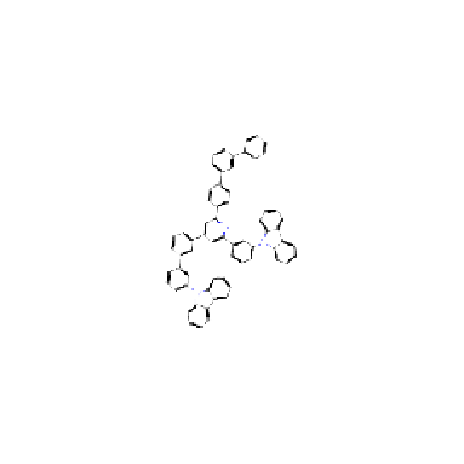 c1ccc(-c2cccc(-c3ccc(-c4cc(-c5cccc(-c6cccc(-n7c8ccccc8c8ccccc87)c6)c5)cc(-c5cccc(-n6c7ccccc7c7ccccc76)c5)n4)cc3)c2)cc1